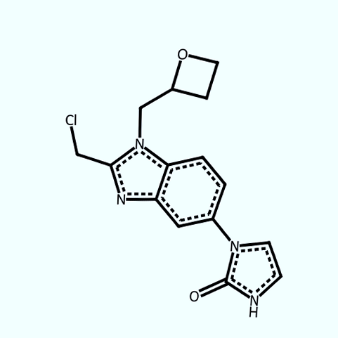 O=c1[nH]ccn1-c1ccc2c(c1)nc(CCl)n2CC1CCO1